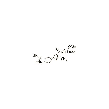 COC(CNC(=O)c1cc(-c2ccc(NC(=O)OC(C)(C)C)cc2)cn1C)OC